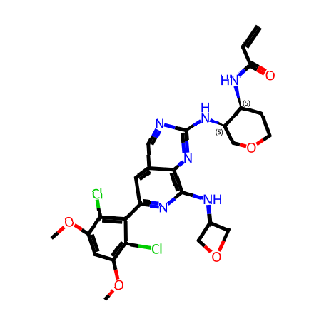 C=CC(=O)N[C@H]1CCOC[C@H]1Nc1ncc2cc(-c3c(Cl)c(OC)cc(OC)c3Cl)nc(NC3COC3)c2n1